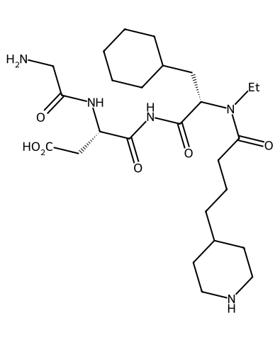 CCN(C(=O)CCCC1CCNCC1)[C@@H](CC1CCCCC1)C(=O)NC(=O)[C@H](CC(=O)O)NC(=O)CN